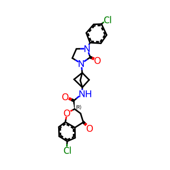 O=C1C[C@H](C(=O)NC23CC(N4CCN(c5ccc(Cl)cc5)C4=O)(C2)C3)Oc2ccc(Cl)cc21